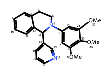 COc1cc(N2CCc3ccccc3C2c2cccnc2)cc(OC)c1OC